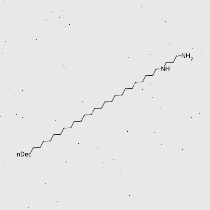 CCCCCCCCCCCCCCCCCCCCCCCCCCCCCCCCCCCNCCCN